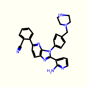 N#Cc1ccccc1-c1ccc2nc(-c3cccnc3N)n(-c3ccc(CN4CCNCC4)cc3)c2n1